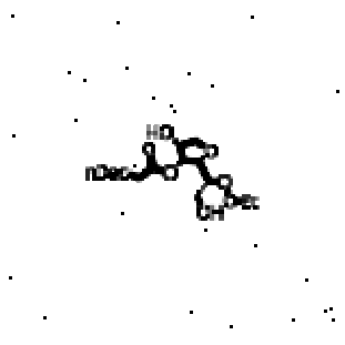 CCCCCCCCCCCC(=O)O[C@H]1[C@@H]([C@@H](CO)OOCC)OC[C@@H]1O